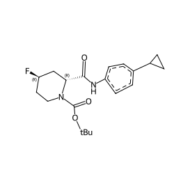 CC(C)(C)OC(=O)N1CC[C@@H](F)C[C@@H]1C(=O)Nc1ccc(C2CC2)cc1